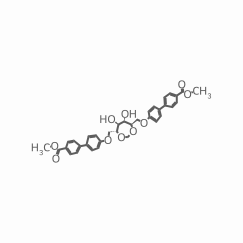 COC(=O)c1ccc(-c2ccc(OC[C@H]3OCO[C@H](COc4ccc(-c5ccc(C(=O)OC)cc5)cc4)[C@@H](O)[C@@H]3O)cc2)cc1